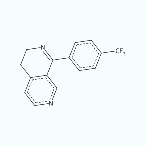 FC(F)(F)c1ccc(C2=NCCc3ccncc32)cc1